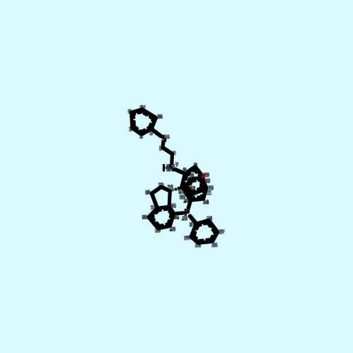 c1ccc(SCCNc2ccccc2[C@H]2CCc3cccc(P(c4ccccc4)c4ccccc4)c32)cc1